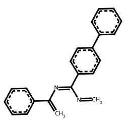 C=N/C(=N\C(=C)c1ccccc1)c1ccc(-c2ccccc2)cc1